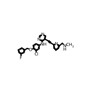 CNCc1cccc(C#Cc2cncnc2Nc2ccc(OCc3cccc(F)c3)c(Cl)c2)n1